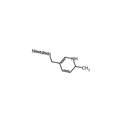 CC1C=CC(CN=[N+]=[N-])=CN1